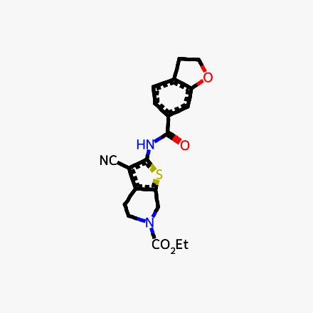 CCOC(=O)N1CCc2c(sc(NC(=O)c3ccc4c(c3)OCC4)c2C#N)C1